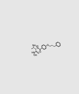 C[C@@H](N)[C@H](NC(=O)c1ccc(OCCCc2ccccc2)cc1)C(=O)NO